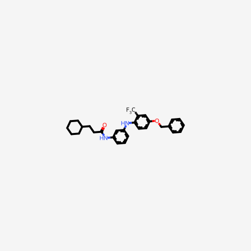 O=C(CCC1CCCCC1)Nc1cccc(Nc2ccc(OCc3ccccc3)cc2C(F)(F)F)c1